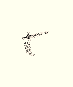 O.O.O.O.O.O.O.O.O.O.[Cs+].[Cs+].[Cs+].[O-]B([O-])[O-]